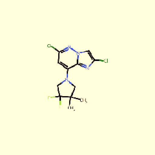 CC1(C)CN(c2cc(Cl)nn3cc(Cl)nc23)CC1(F)F